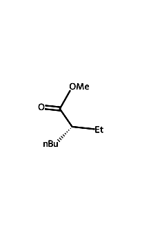 CCCC[C@@H](CC)C(=O)OC